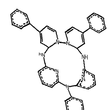 C1=CN2C(C=C1c1ccccc1)Nc1cccc(n1)N(c1ccccc1)c1cccc(n1)NC1C=C(c3ccccc3)C=CN12